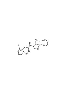 Cc1c(NC(=O)Cc2c(F)cccc2F)cnn1-c1ccccc1